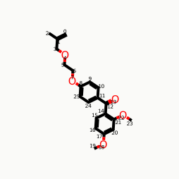 C=C(C)COCCOc1ccc(C(=O)c2ccc(OC)cc2OC)cc1